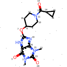 Cn1c(=O)c2[nH]c(OC3CCN(C(=O)C4CC4)CC3)nc2n(C)c1=O